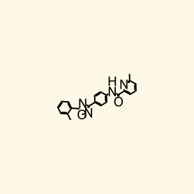 Cc1cccc(C(=O)Nc2ccc(-c3noc(-c4ccccc4C)n3)cc2)n1